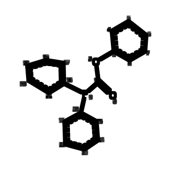 O=C(Oc1ccccc1)P(c1ccccc1)c1ccccc1